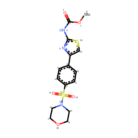 CC(C)(C)OC(=O)Nc1nc(-c2ccc(S(=O)(=O)N3CCOCC3)cc2)cs1